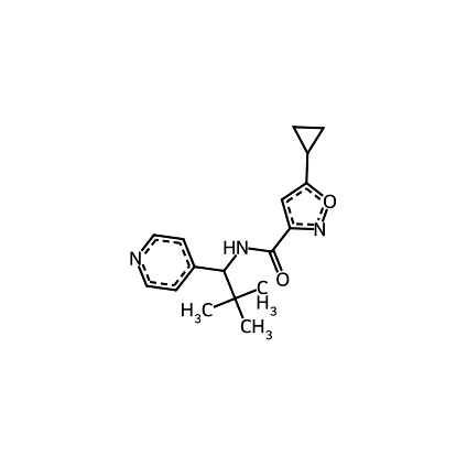 CC(C)(C)C(NC(=O)c1cc(C2CC2)on1)c1ccncc1